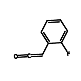 O=C=Cc1ccccc1F